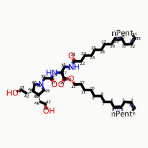 CCCCC/C=C\C/C=C\CCCCCCCCOC(=O)C(CNC(=O)CCCCCCC/C=C\C/C=C\CCCCC)NC(=O)CN1C[C@@H](CCO)[C@@H](CCO)C1